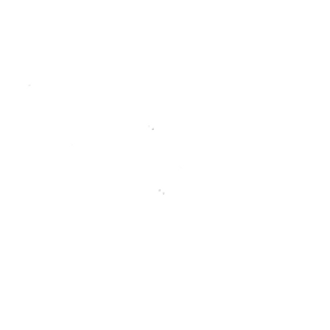 CN1C(=O)C(Cc2ccccc2)N=C(c2ccc(O)cc2)c2cc(Br)ccc21